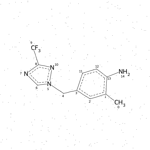 Cc1cc(Cn2cnc(C(F)(F)F)n2)ccc1N